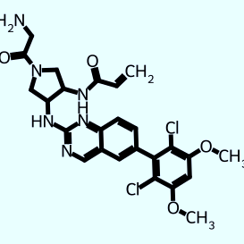 C=CC(=O)NC1CN(C(=O)CN)CC1Nc1ncc2cc(-c3c(Cl)c(OC)cc(OC)c3Cl)ccc2n1